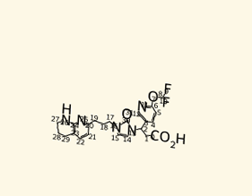 O=C(O)CC(c1ccc(OC(F)F)nc1)n1ccn(CCCc2ccc3c(n2)NCCC3)c1=O